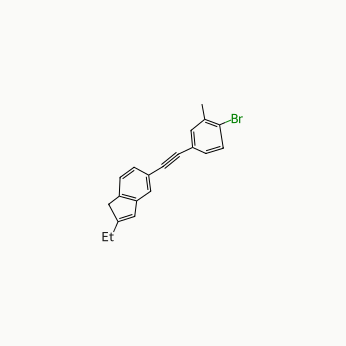 CCC1=Cc2cc(C#Cc3ccc(Br)c(C)c3)ccc2C1